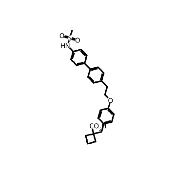 CS(=O)(=O)Nc1ccc(-c2ccc(CCOc3ccc(CC4(C(=O)O)CCC4)cc3)cc2)cc1